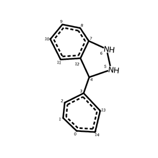 c1ccc(C2NNc3ccccc32)cc1